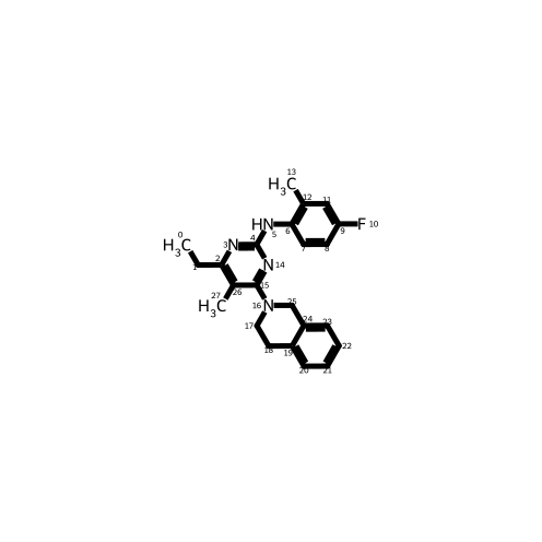 CCc1nc(Nc2ccc(F)cc2C)nc(N2CCc3ccccc3C2)c1C